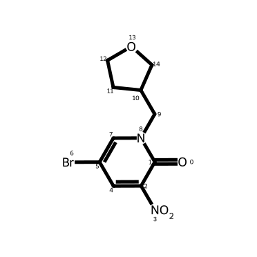 O=c1c([N+](=O)[O-])cc(Br)cn1CC1CCOC1